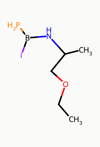 CCOCC(C)NB(P)I